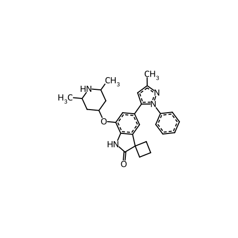 Cc1cc(-c2cc(OC3CC(C)NC(C)C3)c3c(c2)C2(CCC2)C(=O)N3)n(-c2ccccc2)n1